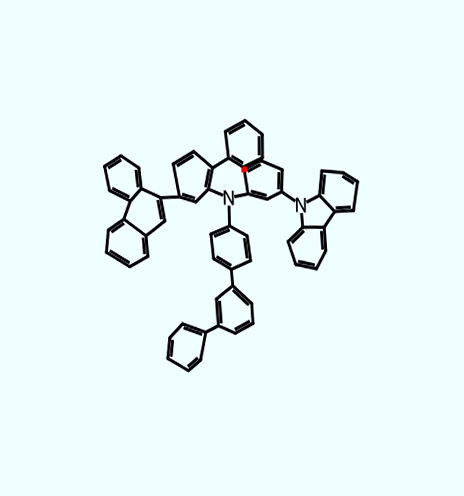 c1ccc(-c2cccc(-c3ccc(N(c4cccc(-n5c6ccccc6c6ccccc65)c4)c4cc(-c5cc6ccccc6c6ccccc56)ccc4-c4ccccc4)cc3)c2)cc1